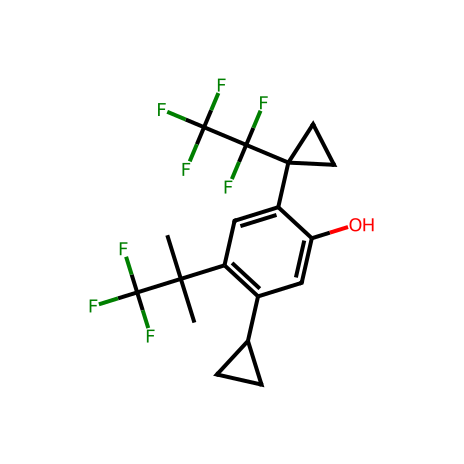 CC(C)(c1cc(C2(C(F)(F)C(F)(F)F)CC2)c(O)cc1C1CC1)C(F)(F)F